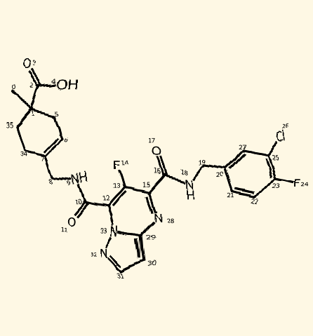 CC1(C(=O)O)CC=C(CNC(=O)c2c(F)c(C(=O)NCc3ccc(F)c(Cl)c3)nc3ccnn23)CC1